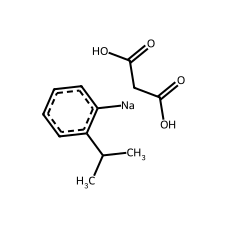 CC(C)c1cccc[c]1[Na].O=C(O)CC(=O)O